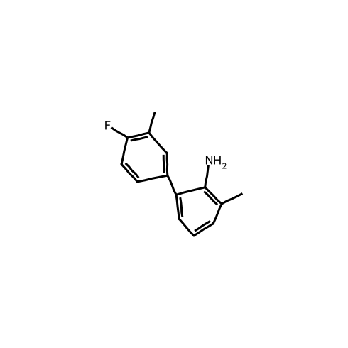 Cc1cc(-c2cccc(C)c2N)ccc1F